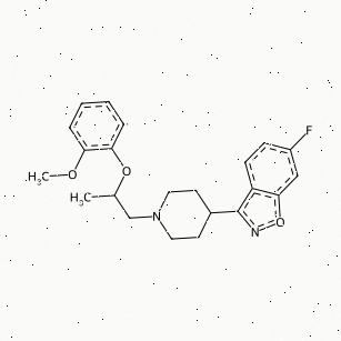 COc1ccc[c]c1OC(C)CN1CCC(c2noc3cc(F)ccc23)CC1